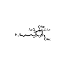 CC(=O)OC[C@H]1O[C@@H](OCCCCN)[C@H](OC(C)=O)[C@@H](OC(C)=O)[C@@H]1OC(C)=O